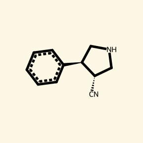 N#C[C@H]1CNC[C@@H]1c1ccccc1